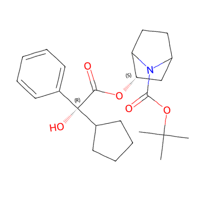 CC(C)(C)OC(=O)N1C2CCC1[C@@H](OC(=O)[C@](O)(c1ccccc1)C1CCCC1)C2